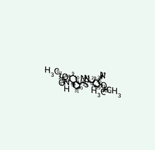 CCCS(=O)(=O)N[C@H]1CCCc2c(-c3nnc(-c4ccc(OC(C)C)c(C#N)c4)s3)cccc21